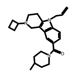 C=CCn1c2c(c3cc(C(=O)N4CCC(C)CC4)ccc31)CN(C1CCC1)CC2